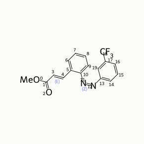 COC(=O)/C=C/c1ccccc1/N=N\c1cccc(C(F)(F)F)c1